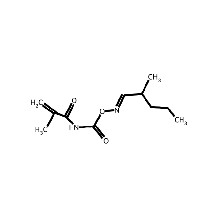 C=C(C)C(=O)NC(=O)ON=CC(C)CCC